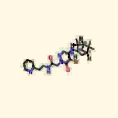 C[C@@H]1[C@H]2C[C@@H](C[C@H]1Nc1cnn(CC(=O)NCCc3ccccn3)c(=O)c1Br)C2(C)C